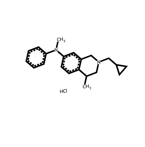 CC1CN(CC2CC2)Cc2cc(N(C)c3ccccc3)ccc21.Cl